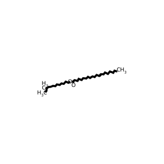 CCCCCCCCC=CCCCCCCCCCCCC(=O)OCCCCCCCCCCC(C)CC